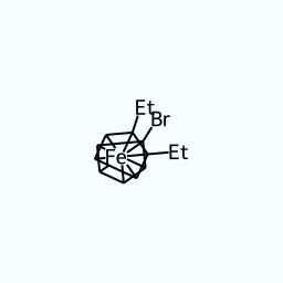 CC[C]12[CH]3[CH]4[CH]5[C]1(CC)[Fe]43521678[CH]2[CH]1[CH]6[C]7(Br)[CH]28